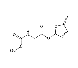 CC(C)(C)OC(=O)NCC(=O)OC1C=CC(=O)O1